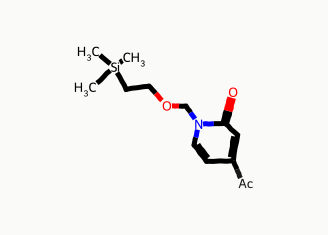 CC(=O)c1ccn(COCC[Si](C)(C)C)c(=O)c1